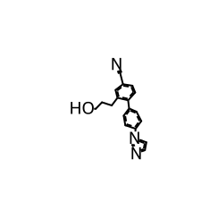 N#Cc1ccc(-c2ccc(-n3ccnc3)cc2)c(CCCO)c1